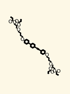 C=CC(=O)OCC(COCCCCOc1ccc(C#Cc2ccc(-c3ccc(OCCCCOCC(COC(=O)C=C)OC(=O)C=C)cc3)cc2)cc1)OC(=O)C=C